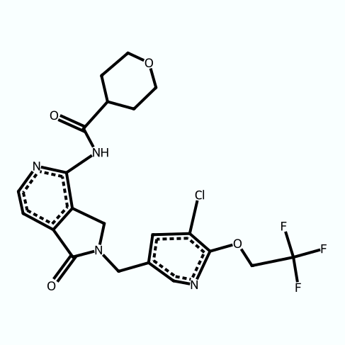 O=C(Nc1nccc2c1CN(Cc1cnc(OCC(F)(F)F)c(Cl)c1)C2=O)C1CCOCC1